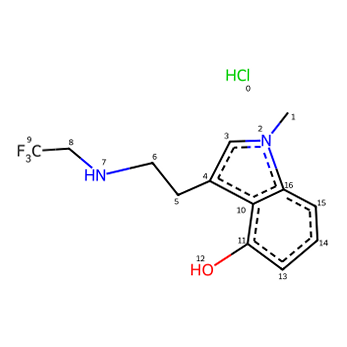 Cl.Cn1cc(CCNCC(F)(F)F)c2c(O)cccc21